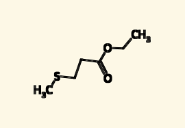 CCOC(=O)CCSC